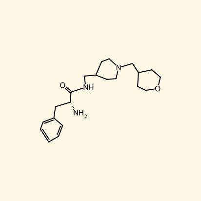 N[C@H](Cc1ccccc1)C(=O)NCC1CCN(CC2CCOCC2)CC1